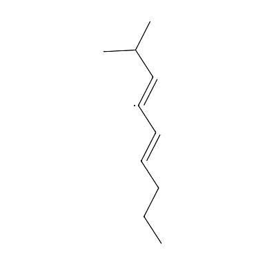 CCCC=C/[C]=C/C(C)C